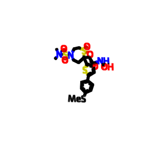 CSc1ccc(-c2ccc(C3(CC(=O)NO)CCN(S(=O)(=O)N(C)C)CCS3(=O)=O)s2)cc1